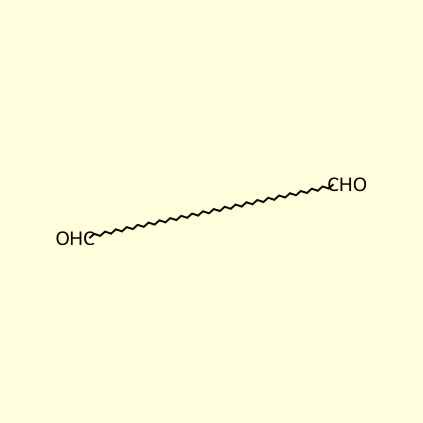 O=CCCCCCCCCCCCCCCCCCCCCCCCCCCCCCCCCCCCCCCCCCCCCC=O